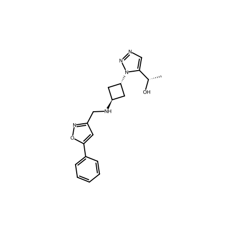 C[C@H](O)c1cnnn1[C@H]1C[C@H](NCc2cc(-c3ccccc3)on2)C1